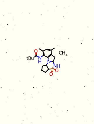 C.Cc1cc(C)c(NC(=O)C(C)(C)C)c2c1CC1NS(=O)(=O)C3CCCC3N21